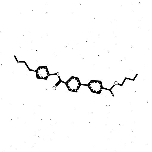 CCCCOC(C)c1ccc(-c2ccc(C(=O)Oc3ccc(CCCC)cc3)cc2)cc1